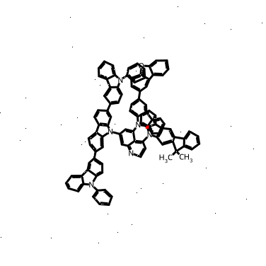 CC1(C)c2ccccc2-c2cc3c4ccccc4n(-c4ccnc5cc(-n6c7cc(-c8ccc9c(c8)c8ccccc8n9-c8ccccc8)ccc7c7ccc(-c8ccc9c(c8)c8ccccc8n9-c8ccccc8)cc76)cc(-n6c7ccccc7c7cc(-c8ccc9oc%10ccccc%10c9c8)ccc76)c45)c3cc21